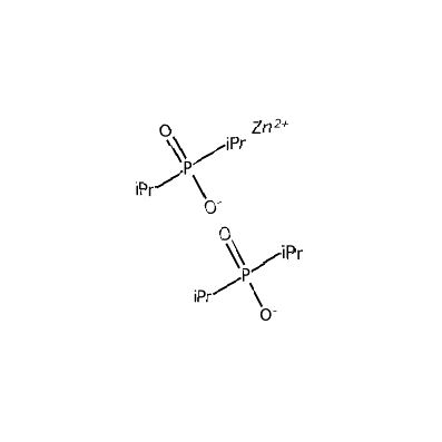 CC(C)P(=O)([O-])C(C)C.CC(C)P(=O)([O-])C(C)C.[Zn+2]